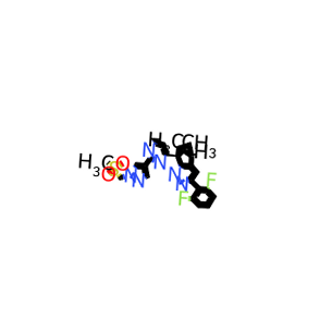 CC1(C)[C@H]2CC[C@@]1(c1ccnc(-c3cnn(CS(C)(=O)=O)c3)n1)c1nnc(-c3c(F)cccc3F)cc12